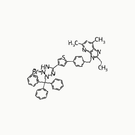 CCc1nc2c(C)cc(C)nc2n1Cc1ccc(-c2cc(C3=NN(C(c4ccccc4)(c4ccccc4)c4ccccc4)N(Br)N3)cs2)cc1